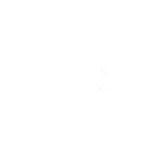 CC(C)=CCCC(C)CCOc1ccc(C(=O)O)o1